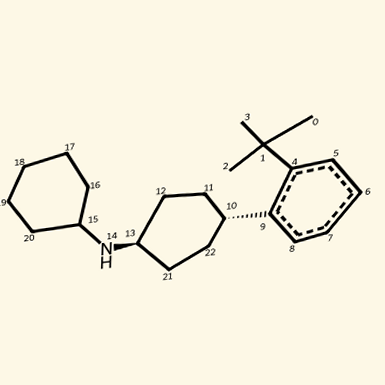 CC(C)(C)c1ccccc1[C@H]1CC[C@H](NC2CCCCC2)CC1